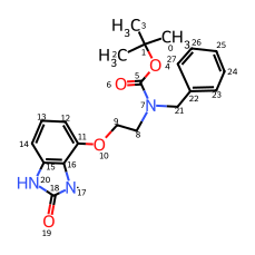 CC(C)(C)OC(=O)N(CCOc1cccc2c1[N]C(=O)N2)Cc1ccccc1